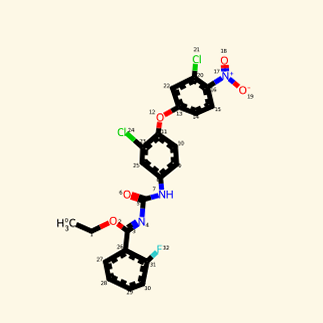 CCOC(=NC(=O)Nc1ccc(Oc2ccc([N+](=O)[O-])c(Cl)c2)c(Cl)c1)c1ccccc1F